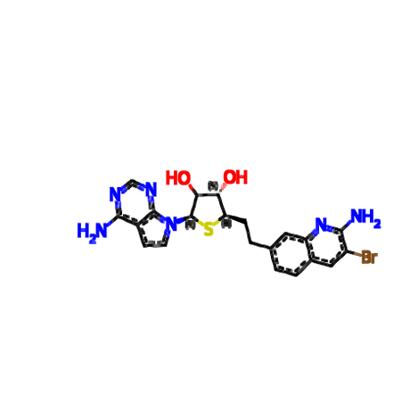 Nc1nc2cc(CC[C@H]3S[C@@H](n4ccc5c(N)ncnc54)C(O)[C@@H]3O)ccc2cc1Br